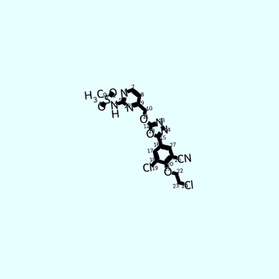 CS(=O)(=O)Nc1nccc(COc2nnc(-c3cc(Cl)c(OCCCl)c(C#N)c3)o2)n1